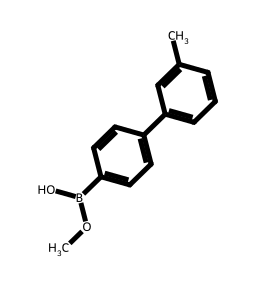 COB(O)c1ccc(-c2cccc(C)c2)cc1